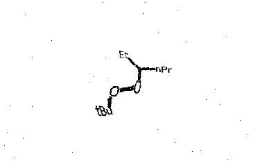 [CH2]CCC(CC)OOC(C)(C)C